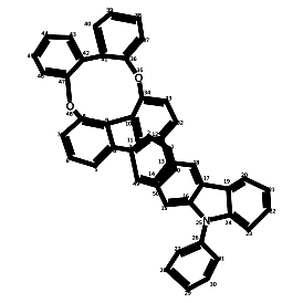 c1ccc(-c2cccc3c2-c2cc(-c4ccc5c(c4)c4ccccc4n5-c4ccccc4)ccc2Oc2ccccc2-c2ccccc2O3)cc1